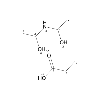 CC(O)NC(C)O.CCC(=O)O